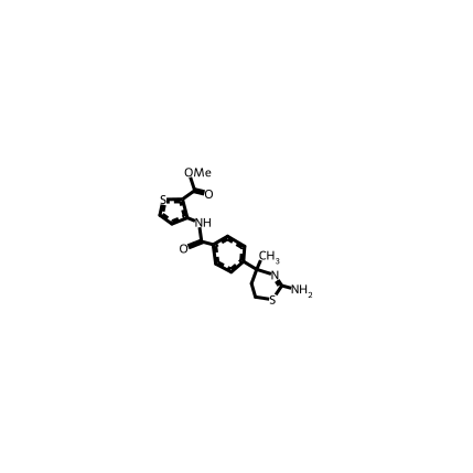 COC(=O)c1sccc1NC(=O)c1ccc(C2(C)CCSC(N)=N2)cc1